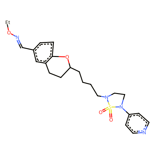 CCO/N=C/c1ccc2c(c1)CCC(CCCCN1CCN(c3ccncc3)S1(=O)=O)O2